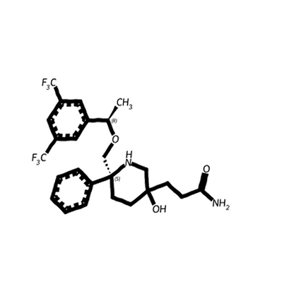 C[C@@H](OC[C@@]1(c2ccccc2)CCC(O)(CCC(N)=O)CN1)c1cc(C(F)(F)F)cc(C(F)(F)F)c1